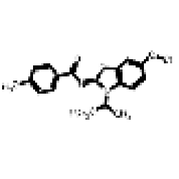 CCOc1ccc2c(c1)sc(=NC(=O)c1ccc(C)cc1)n2C(C)C(=O)O